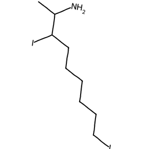 CC(N)C(I)CCCCCCI